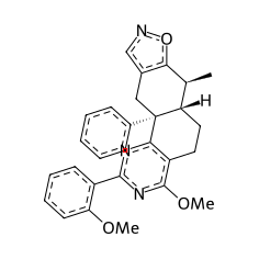 COc1ccccc1-c1nc(OC)c2c(n1)[C@@]1(c3ccccc3)Cc3cnoc3[C@@H](C)[C@@H]1CC2